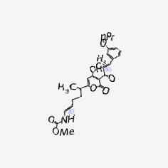 CCCOc1cccc(/C=C(\C)C(=O)c2c(O)cc(C(C)CC/C=C/NC(=O)OC)oc2=O)c1